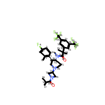 Cc1cc(F)ccc1[C@@H]1CN(C2CN(C(=O)C(C)C)C2)CC[C@H]1N(C)C(=O)C(C)(C)c1cc(C(F)(F)F)cc(C(F)(F)F)c1